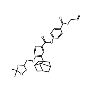 C=CCOC(=O)c1ccc(OC(=O)c2ccc(OCC3COC(C)(C)O3)c(C34CC5CC(CC(C5)C3)C4)c2)cc1